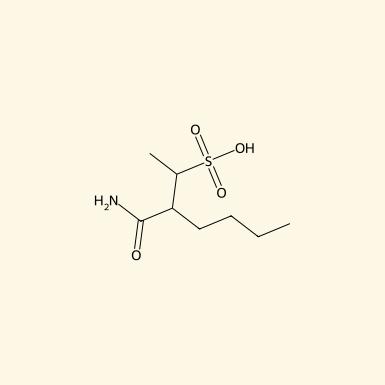 CCCCC(C(N)=O)C(C)S(=O)(=O)O